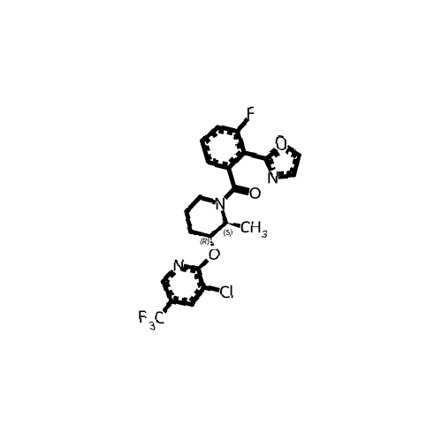 C[C@H]1[C@H](Oc2ncc(C(F)(F)F)cc2Cl)CCCN1C(=O)c1cccc(F)c1-c1ncco1